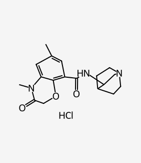 Cc1cc(C(=O)NC2CN3CCC2CC3)c2c(c1)N(C)C(=O)CO2.Cl